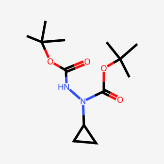 CC(C)(C)OC(=O)NN(C(=O)OC(C)(C)C)C1CC1